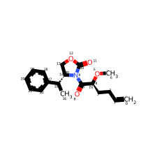 C=CCC[C@H](OC)C(=O)N1C(=O)OC[C@H]1C(C)c1ccccc1